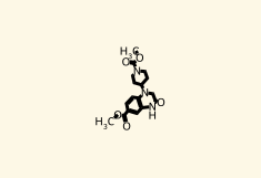 COC(=O)c1ccc2c(c1)NC(=O)CN2C1CCN(C(=O)OC)CC1